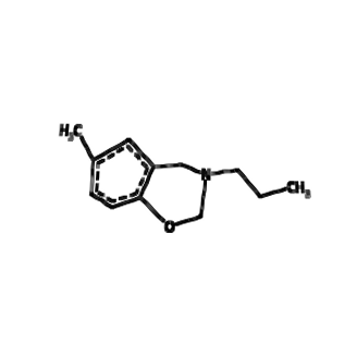 CCCN1COc2ccc(C)cc2C1